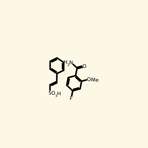 COc1cc(F)ccc1C(N)=O.O=S(=O)(O)/C=C/c1ccccc1